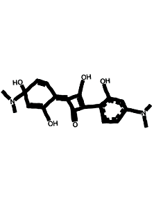 CN(C)c1ccc(C2=C(O)C(=C3C=CC(O)(N(C)C)C=C3O)C2=O)c(O)c1